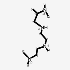 CC(CNCCN(C)CCN(C)C)N(C)C